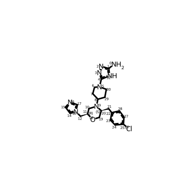 Nc1nnc(N2CCC(N3C[C@H](Cn4ccnc4)OC[C@@H]3Cc3ccc(Cl)cc3)CC2)[nH]1